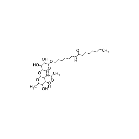 CCCCCCCC(=O)NCCCCCCOC1OCC(OC2OC(C)C(O)C(O)C2NC(C)=O)C(O)C1O